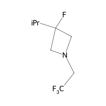 CC(C)C1(F)CN(CC(F)(F)F)C1